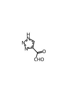 O=CC(=O)c1c[nH]nn1